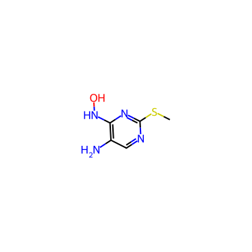 CSc1ncc(N)c(NO)n1